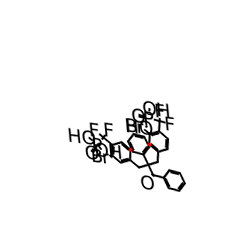 O=C(c1ccccc1)C(Cc1ccc(C(F)(F)P(=O)(O)O)c(Br)c1)(Cc1ccc(C(F)(F)P(=O)(O)O)c(Br)c1)c1ccccc1